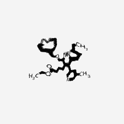 CCOC(=O)CCCc1c(COCc2ccncc2)nn2c(CC)ccc2c1-c1cncc(C)c1